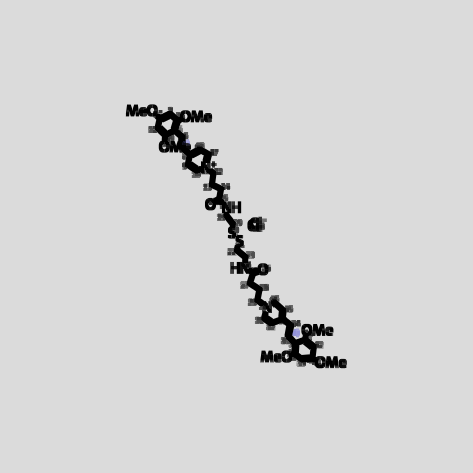 COc1cc(OC)c(/C=C/c2cc[n+](CCCC(=O)NCCSSCCNC(=O)CCC[n+]3ccc(/C=C/c4c(OC)cc(OC)cc4OC)cc3)cc2)c(OC)c1.[Cl-].[Cl-]